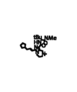 CNC(=O)[C@@H](NC(=O)c1nc(C=CCC2CCCC2)n2c1CN(C)CCC2)C(C)(C)C